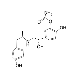 C[C@H](Cc1ccc(O)cc1)NC[C@@H](O)c1ccc(O)c(OC(N)=O)c1